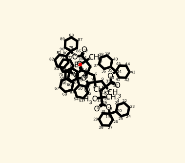 CCC(C)(CC(C)(CC(C)(CC(C)(CC(C)(C)C(=O)OC1(C2CCCCC2)CCCCC1)C(=O)OC1(C2CCCCC2)CCCCC1)C(=O)OC1(C2CCCCC2)CCCCC1)C(=O)OC1(C2CCCCC2)CCCCC1)C(=O)OC1(C2CCCCC2)CCCCC1